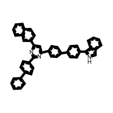 c1ccc(-c2ccc(-c3nc(-c4ccc(-c5ccc(-c6[nH]cc7ccccc67)cc5)cc4)cc(-c4ccc5ccccc5c4)n3)cc2)cc1